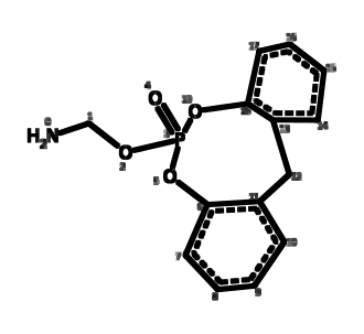 NCOP1(=O)Oc2ccccc2Cc2ccccc2O1